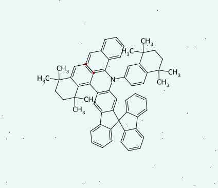 CC1(C)CCC(C)(C)c2cc(N(c3cc4c(cc3-c3cccc5c3C(C)(C)CCC5(C)C)-c3ccccc3C43c4ccccc4-c4ccccc43)c3cccc4ccccc34)ccc21